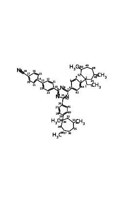 CCC1(c2ccc(-c3nc(-c4ccc(-c5ccc(C#N)cc5)cc4)nc(-c4ccc(C5(C)CC(C)CC[C@H](C)C5)cc4)n3)cc2)CC(C)CC[C@H](C)C1